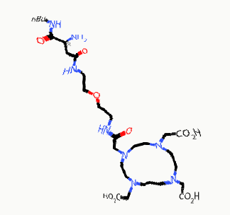 CCCCNC(=O)[C@@H](N)CC(=O)NCCOCCNC(=O)CN1CCN(CC(=O)O)CCN(CC(=O)O)CCN(CC(=O)O)CC1